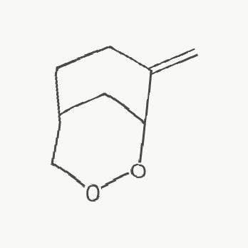 C=C1CCC2COOC1C2